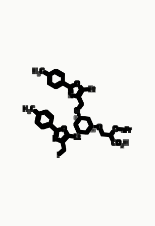 CCCOC(CO[C@@H]1CCC[C@H](OCc2nc(-c3ccc(C)cc3)oc2CC)C1)C(=O)O.CCc1oc(-c2ccc(C)cc2)nc1CI